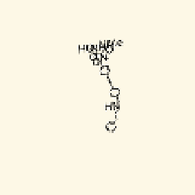 CNC(=O)C(C(=O)NO)N(C)C(=O)c1ccc(C#Cc2ccc(CNCCCc3ccccc3)cc2)cc1